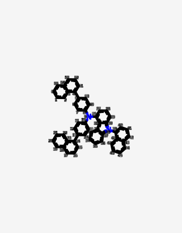 c1ccc2c(-c3ccc(N(c4ccc(-c5cccc6ccccc56)cc4)c4cccc5c4c4ccccc4n5-c4cccc5ccccc45)cc3)cccc2c1